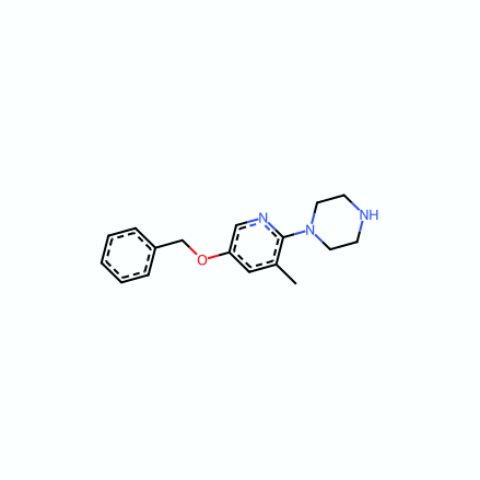 Cc1cc(OCc2ccccc2)cnc1N1CCNCC1